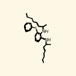 CCCCCCC(C)Nc1cccc(Sc2ccccc2)c1NC(C)CCCCCC